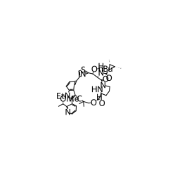 CCCCO[C@@H]1c2nc(cs2)-c2ccc3c(c2)c(c(-c2cccnc2[C@H](C)OC)n3CC)CC(C)(C)COC(=O)[C@@H]2CCCN(N2)C(=O)[C@H]1NC(=O)[C@H]1[C@H](C)[C@@H]1C